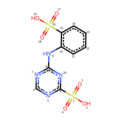 O=S(=O)(O)c1n[c]nc(Nc2ccccc2S(=O)(=O)O)n1